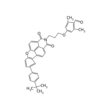 Cc1cc(OCCCn2c(=O)c3ccc4oc5ccc(-c6ccc(C(C)(C)C)cc6)cc5c5ccc(c2=O)c3c45)cc(C)c1C=O